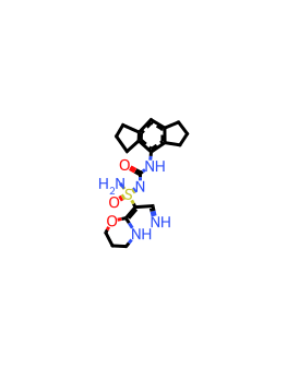 N=C/C(=C1\NCCCO1)S(N)(=O)=NC(=O)Nc1c2c(cc3c1CCC3)CCC2